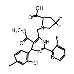 COC(=O)C1=C(CN2CC(F)(F)CC2C(=O)O)NC(c2ncccc2F)=N[C@H]1c1ccc(F)cc1Cl